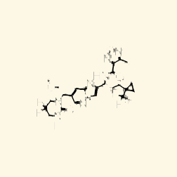 COC[C@H](c1cnn2cc([C@@H](CCC3(C(F)(F)F)CC3)NC(=O)c3nonc3C)nc2c1)N1CC(F)(F)CNC1=O